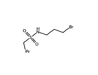 CC(C)CS(=O)(=O)NCCCBr